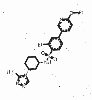 CCc1cc(-c2ccc(OC(C)C)nc2)ccc1S(=O)(=O)N[C@H]1CCC[C@@H](n2cnnc2C)C1